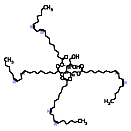 CCCCC/C=C\C/C=C\CCCCCCCC(=O)OC[C@@H](OC(=O)CCCCCCC/C=C\C/C=C\CCCCC)[C@@H](OC(=O)CCCCCCC/C=C\C/C=C\CCCCC)[C@H](OC(=O)CCCCCCC/C=C\C/C=C\CCCCC)[C@H](O)CO